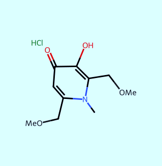 COCc1cc(=O)c(O)c(COC)n1C.Cl